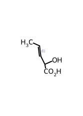 C/C=C/C(O)C(=O)O